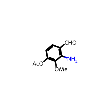 COc1c(OC(C)=O)ccc(C=O)c1N